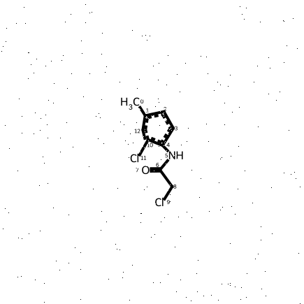 Cc1ccc(NC(=O)CCl)c(Cl)c1